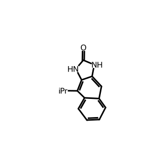 CC(C)c1c2ccccc2cc2[nH]c(=O)[nH]c12